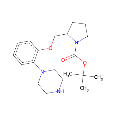 CC(C)(C)OC(=O)N1CCCC1COc1ccccc1N1CCNCC1